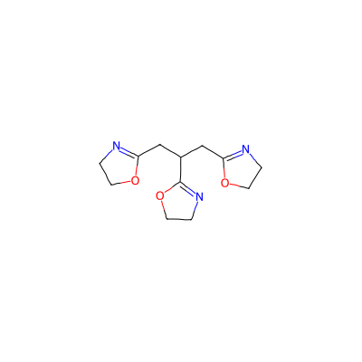 C1COC(CC(CC2=NCCO2)C2=NCCO2)=N1